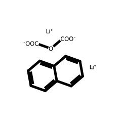 O=C([O-])OC(=O)[O-].[Li+].[Li+].c1ccc2ccccc2c1